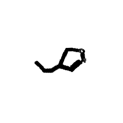 CCC1[C]=NOC1